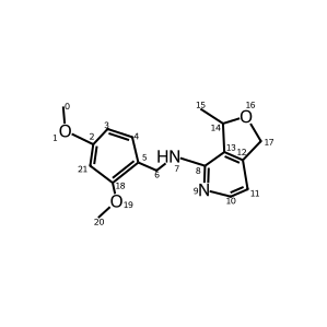 COc1ccc(CNc2nccc3c2C(C)OC3)c(OC)c1